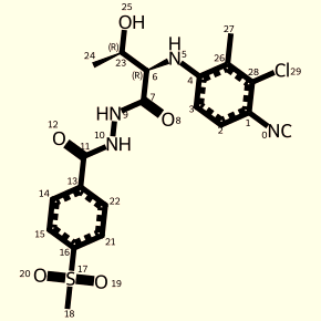 [C-]#[N+]c1ccc(N[C@@H](C(=O)NNC(=O)c2ccc(S(C)(=O)=O)cc2)[C@@H](C)O)c(C)c1Cl